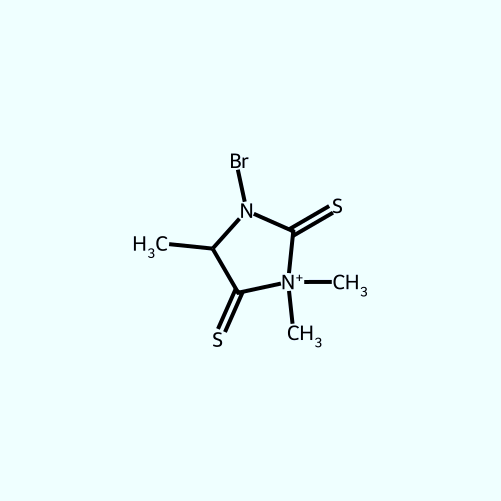 CC1C(=S)[N+](C)(C)C(=S)N1Br